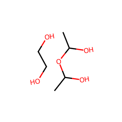 CC(O)OC(C)O.OCCO